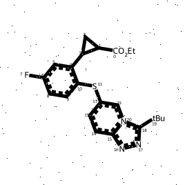 CCOC(=O)C1CC1c1cc(F)ccc1Sc1ccc2nnc(C(C)(C)C)n2c1